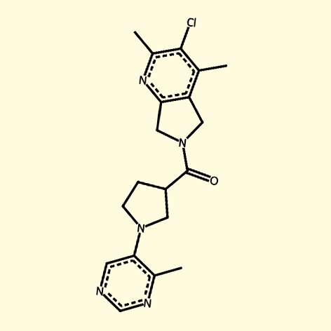 Cc1ncncc1N1CCC(C(=O)N2Cc3nc(C)c(Cl)c(C)c3C2)C1